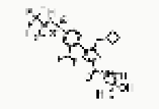 C[C@H](NS(=O)(=O)c1ccc(-c2sc(C(=O)NCC(C)(C)O)nc2CC2CCC2)c(C(F)F)c1)C(F)(F)F